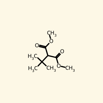 COC(=O)C(C(=O)OC)C(C)(C)C